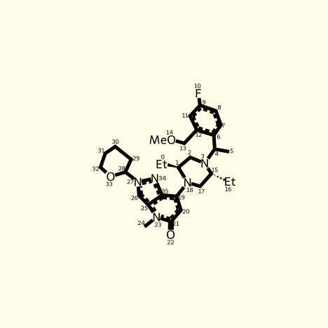 CC[C@H]1CN(C(C)c2ccc(F)cc2COC)[C@H](CC)CN1c1cc(=O)n(C)c2cn(C3CCCCO3)nc12